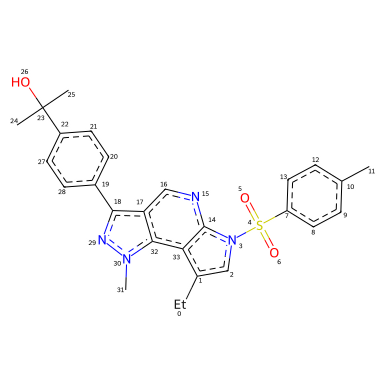 CCc1cn(S(=O)(=O)c2ccc(C)cc2)c2ncc3c(-c4ccc(C(C)(C)O)cc4)nn(C)c3c12